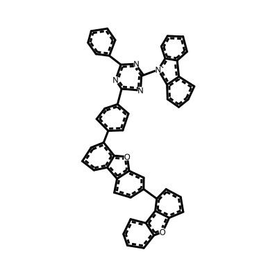 c1ccc(-c2nc(-c3ccc(-c4cccc5c4oc4cc(-c6cccc7oc8ccccc8c67)ccc45)cc3)nc(-n3c4ccccc4c4ccccc43)n2)cc1